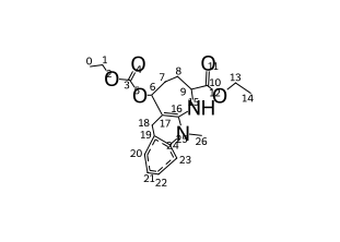 CCOC(=O)OC1CCC(C(=O)OCC)NC2=C1Cc1ccccc1N2C